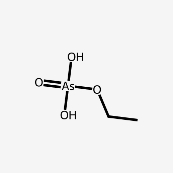 CCO[As](=O)(O)O